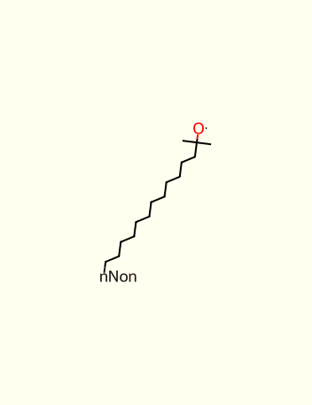 CCCCCCCCCCCCCCCCCCCCCC(C)(C)[O]